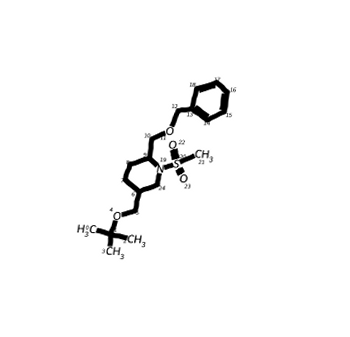 CC(C)(C)OCC1CCC(COCc2ccccc2)N(S(C)(=O)=O)C1